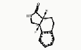 O=C1NC[C@H]2c3ccccc3CC[C@@H]12